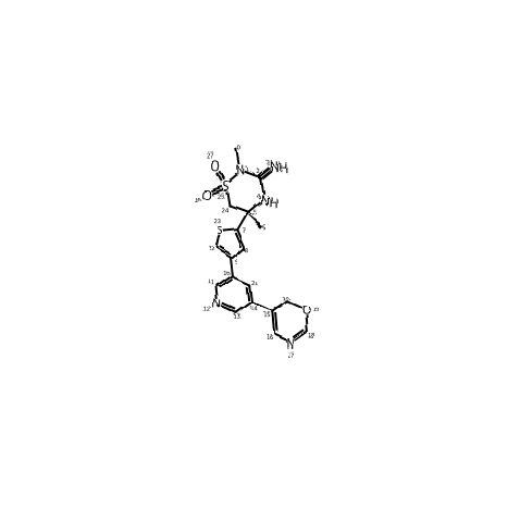 CN1C(=N)N[C@](C)(c2cc(-c3cncc(C4=CN=COC4)c3)cs2)CS1(=O)=O